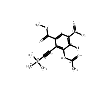 COC(=O)c1cc([N+](=O)[O-])c(Cl)c(OC(C)=O)c1C#C[Si](C)(C)C